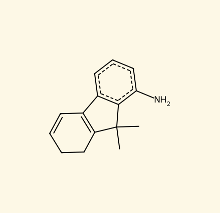 CC1(C)C2=C(C=CCC2)c2cccc(N)c21